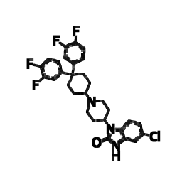 O=c1[nH]c2cc(Cl)ccc2n1C1CCN(C2CCC(c3ccc(F)c(F)c3)(c3ccc(F)c(F)c3)CC2)CC1